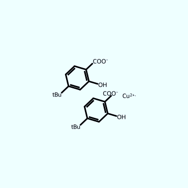 CC(C)(C)c1ccc(C(=O)[O-])c(O)c1.CC(C)(C)c1ccc(C(=O)[O-])c(O)c1.[Cu+2]